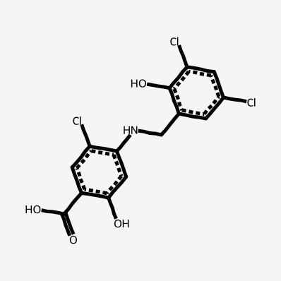 O=C(O)c1cc(Cl)c(NCc2cc(Cl)cc(Cl)c2O)cc1O